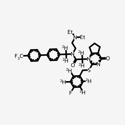 [2H]c1c([2H])c(CSc2nc(=O)c3c(n2C([2H])([2H])C(=O)N(CCN(CC)CC)C([2H])([2H])c2ccc(-c4ccc(C(F)(F)F)cc4)cc2)CCC3)c([2H])c([2H])c1F